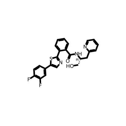 O=C(N[C@@H](CO)Cc1ccccn1)c1ccccc1-c1ncc(-c2ccc(F)c(F)c2)s1